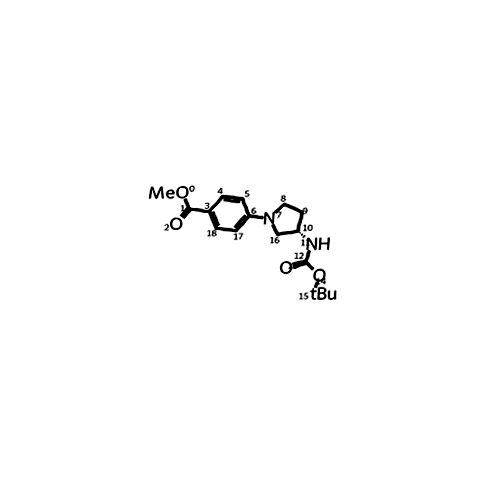 COC(=O)c1ccc(N2CC[C@H](NC(=O)OC(C)(C)C)C2)cc1